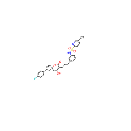 CCCC1(CCc2ccc(F)cc2)CC(O)=C(CCCc2cccc(NS(=O)(=O)c3ccc(C#N)cn3)c2)C(=O)O1